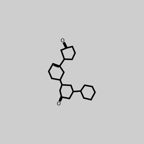 O=C1CCCC(C2=CCCC(C3CC(=O)CC(C4CCCCC4)C3)C2)C1